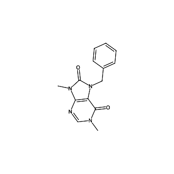 Cn1cnc2c(c1=O)n(Cc1ccccc1)c(=O)n2C